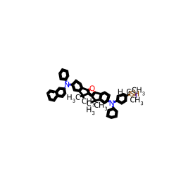 CC1(C)c2cc(N(c3ccccc3)c3ccc([SH](C)(C)(C)I)cc3)ccc2-c2oc3c(c21)C(C)(C)c1cc(N(c2ccccc2)c2ccc4ccccc4c2)ccc1-3